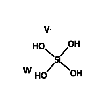 O[Si](O)(O)O.[V].[W]